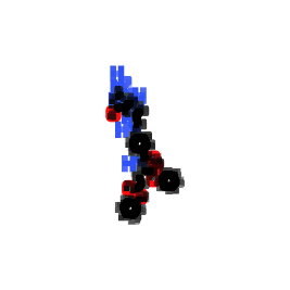 Nc1nc(=O)c2nc(CNc3ccc(C(=O)N[C@@H](CCC(=O)Oc4ccccc4)C(=O)Oc4ccccc4)cc3)cnc2[nH]1